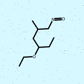 CCOC(CC)CC(C)CN=O